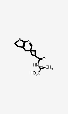 C[C@H](NC(=O)C1CC2(C=NC3=C(CCS3)C2)C1)C(=O)O